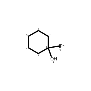 C[C](C)C1(O)CCCCC1